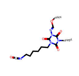 CCCCCCCn1c(=O)n(CCCCCCN=C=O)c(=O)n(/N=C/OCCCCCC)c1=O